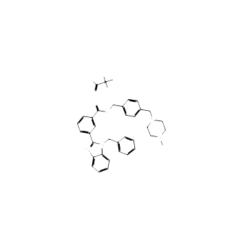 CN1CCN(Cc2ccc(CNC(=O)c3cccc(-c4nc5ccccc5n4Cc4ccccc4)c3)cc2)CC1.O=C(O)C(F)(F)F